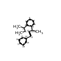 CCC(C)c1ccccc1C(C)/C=C/c1ccccc1